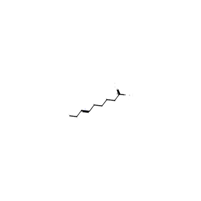 CC/C=C/CCCCC(=O)O